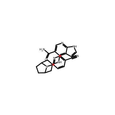 N#Cc1ccc(N2C3CCC2CC(Nc2c(C(N)=O)cnc4[nH]ccc24)C3)nc1